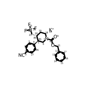 N#Cc1ccc([C@@H]2CN(C(=O)OCc3ccccc3)CC[C@H]2C[B-](F)(F)F)cc1.[K+]